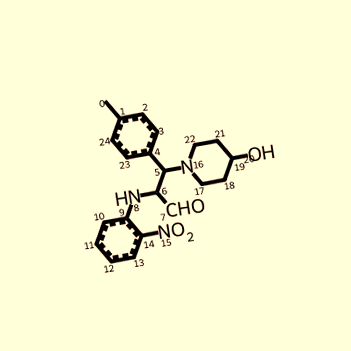 Cc1ccc(C(C(C=O)Nc2ccccc2[N+](=O)[O-])N2CCC(O)CC2)cc1